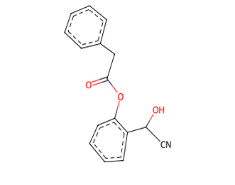 N#CC(O)c1ccccc1OC(=O)Cc1ccccc1